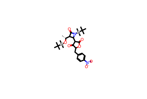 C[C@@H](O[Si](C)(C)C(C)(C)C)C1C(=O)N([Si](C)(C)C(C)(C)C)C1C1C(=O)OC(Cc2ccc([N+](=O)[O-])cc2)C1=O